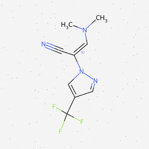 CN(C)/C=C(\C#N)n1cc(C(F)(F)F)cn1